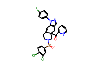 O=C(c1ccccn1)C12Cc3cnn(-c4ccc(F)cc4)c3C=C1CCN([S+]([O-])c1ccc(Cl)c(Cl)c1)C2